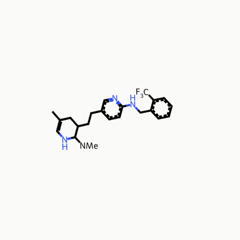 CNC1NC=C(C)CC1CCc1ccc(NCc2ccccc2C(F)(F)F)nc1